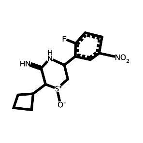 N=C1NC(c2cc([N+](=O)[O-])ccc2F)C[S+]([O-])C1C1CCC1